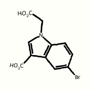 O=C(O)Cn1cc(C(=O)O)c2cc(Br)ccc21